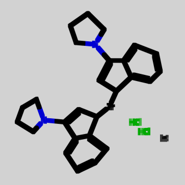 C1=C(N2CCCC2)c2ccccc2[CH]1[Zr][CH]1C=C(N2CCCC2)c2ccccc21.Cl.Cl.[In]